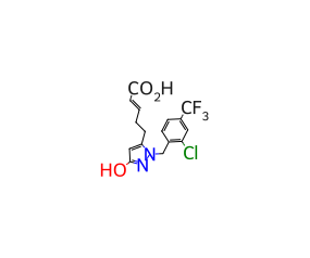 O=C(O)/C=C/CCc1cc(O)nn1Cc1ccc(C(F)(F)F)cc1Cl